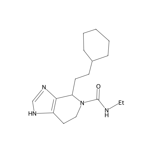 CCNC(=O)N1CCc2[nH]cnc2C1CCC1CCCCC1